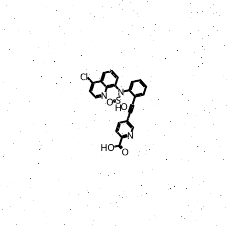 O=C(O)c1ccc(C#Cc2ccccc2N(c2cccc3c(Cl)ccnc23)[SH](=O)=O)cn1